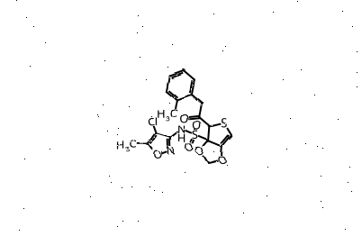 Cc1ccccc1CC(=O)C1SC=C2OCOC21S(=O)(=O)Nc1noc(C)c1Cl